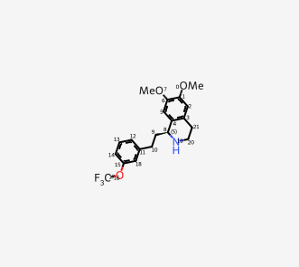 COc1cc2c(cc1OC)[C@H](CCc1cccc(OC(F)(F)F)c1)NCC2